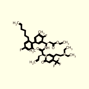 C=CCCCCc1cc(F)cc(C)c1-c1cc(C)c(F)c([C@H](CC(=O)OCC)NC(=O)[C@H](CC=C)n2cc(CCN(CC)CC)c(C(F)(F)F)cc2=O)c1